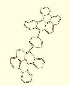 c1ccc(-c2ccccc2-c2c3ccccc3c(-c3ccc(-c4c5ccccc5c(-c5ccccc5-c5ccccc5)c5ccccc45)cc3)c3ccccc23)cc1